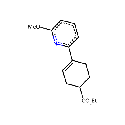 CCOC(=O)C1CC=C(c2cccc(OC)n2)CC1